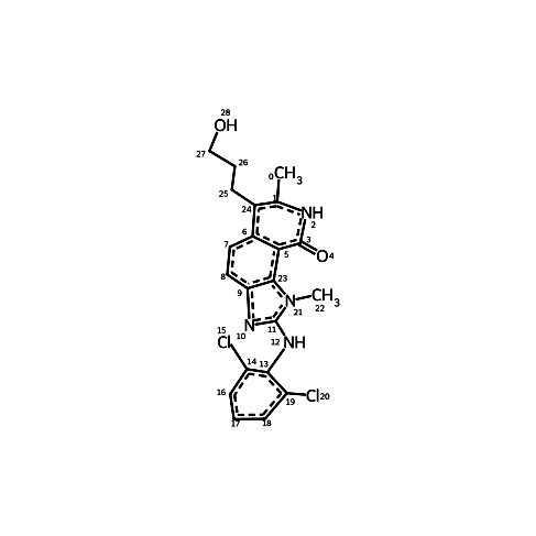 Cc1[nH]c(=O)c2c(ccc3nc(Nc4c(Cl)cccc4Cl)n(C)c32)c1CCCO